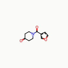 O=C1CCN(C(=O)c2ccoc2)CC1